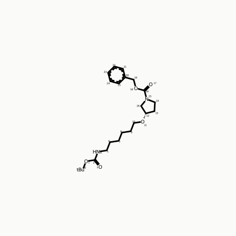 CC(C)(C)OC(=O)NCCCCCCO[C@H]1CCN(C(=O)OCc2ccccc2)C1